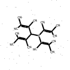 N#CC(C#N)=C(C#N)B(C(C#N)=C(C#N)C#N)C(C(C#N)=C(C#N)C#N)C(C#N)=C(C#N)C#N